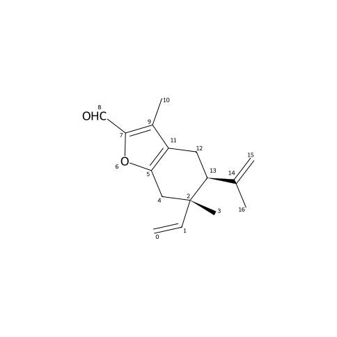 C=C[C@]1(C)Cc2oc(C=O)c(C)c2C[C@H]1C(=C)C